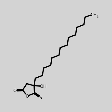 CCCCCCCCCCCCCCC1(O)CC(=O)OC1=S